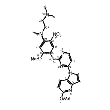 COc1ccc2c(ccn2-c2ccnc(Nc3cc([N+](=O)[O-])c(N(C)CCN(C)C)cc3OC)n2)n1